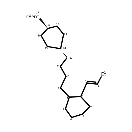 CCC=CC1CCCCC1CCCC[C@H]1CC[C@H](CCCCC)CC1